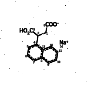 O=C([O-])CC(C(=O)O)c1cccc2ccccc12.[Na+]